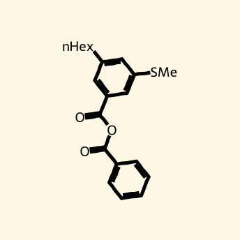 CCCCCCc1cc(SC)cc(C(=O)OC(=O)c2ccccc2)c1